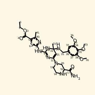 CCOC(=O)c1sc(NC2=NC(N3CCNC(C(N)=O)C3)=CC(C)(NCc3cc(OC)c(OC)c(OC)c3)N2)nc1C